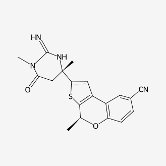 C[C@@H]1Oc2ccc(C#N)cc2-c2cc([C@]3(C)CC(=O)N(C)C(=N)N3)sc21